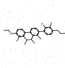 CCCc1ccc(-c2ccc3c(c2F)C(F)C(F)c2c-3ccc(OCC)c2F)c(F)c1F